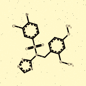 COc1ccc(CN(c2ncns2)S(=O)(=O)c2ccc(Br)c(Cl)c2)c(OC)c1